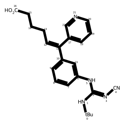 CC(C)(C)N/C(=N/C#N)Nc1cccc(/C(=C/CCCC(=O)O)c2cccnc2)c1